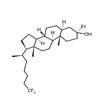 CC[C@]1(O)CC[C@@]2(C)[C@@H](CC[C@@H]3[C@@H]2CC[C@]2(C)[C@@H]([C@H](C)CCCCC(F)(F)F)CC[C@@H]32)C1